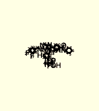 O=C(NC1CCCCC1)c1ccc(-c2nc3cnc(NCc4ccc(F)c(F)c4)nc3n2CC2CCCNC2)c(Cl)c1.O=C(O)C(F)(F)F